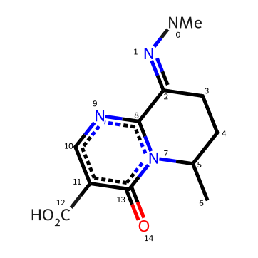 CN/N=C1\CCC(C)n2c1ncc(C(=O)O)c2=O